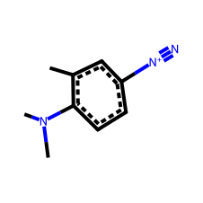 Cc1cc([N+]#N)ccc1N(C)C